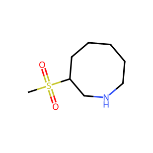 CS(=O)(=O)C1CCCCCNC1